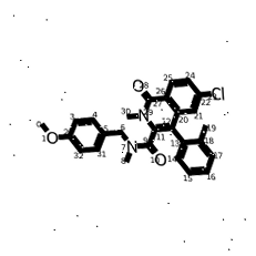 COc1ccc(CN(C)C(=O)c2c(-c3ccccc3C)c3cc(Cl)ccc3c(=O)n2C)cc1